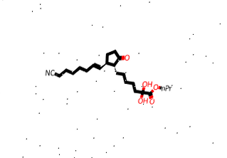 CCCOC(=O)C(O)(O)CCCCC[C@H]1C(=O)CC[C@@H]1C=CCCCCCC#N